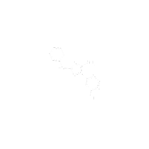 Cc1cc(-n2nc(Nc3ccccc3)nc2N)ncn1